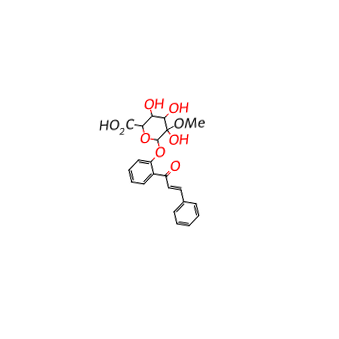 COC1(O)C(Oc2ccccc2C(=O)/C=C/c2ccccc2)OC(C(=O)O)C(O)C1O